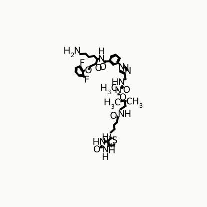 CN(COC(C)(C)CCNC(=O)CCCC[C@@H]1SC[C@@H]2NC(=O)N[C@@H]21)C(=O)NCc1cn(-c2cccc(C(=O)NC(CCCCN)C(=O)COc3c(F)cccc3F)c2)nn1